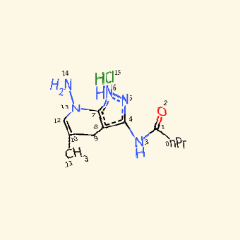 CCCC(=O)Nc1n[nH]c2c1CC(C)=CN2N.Cl